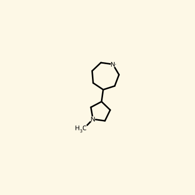 CN1CCC(C2CCC[N]CC2)C1